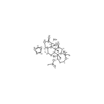 CC(=O)O[C@H]1CCOC(C)(C)[C@@H]2CC(=O)[C@]3(C)[C@H](CC[C@@]4(C)[C@H](c5ccoc5)OC(=O)[C@H]5O[C@]543)[C@@]12C